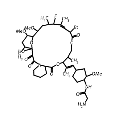 CCC1/C=C(\C)C(F)C(C)CC(OC)C2OC(O)(C(=O)C(=O)N3CCCCC3C(=O)OC(C(C)=CC3CCC(NC(=O)CN)C(OC)C3)C(C)CCC1=O)C(C)CC2OC